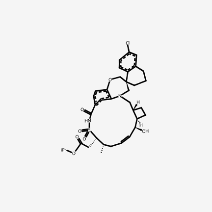 CC(C)OC(=O)C[C@H]1[C@@H](C)C/C=C\[C@H](O)[C@@H]2CC[C@H]2CN2C[C@@]3(CCCc4cc(Cl)ccc43)COc3ccc(cc32)C(=O)NS1(=O)=O